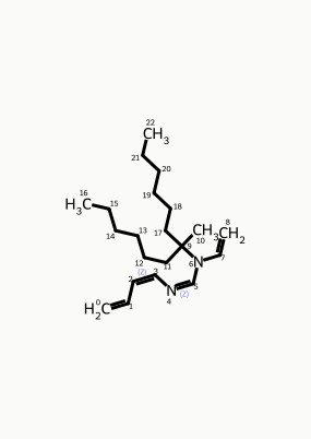 C=C/C=C\N=C/N(C=C)C(C)(CCCCCC)CCCCCC